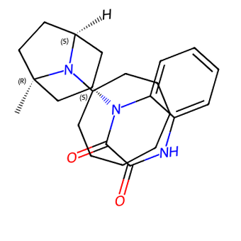 C[C@@]12CC[C@@H](C[C@H](n3c(=O)c(=O)[nH]c4ccccc43)C1)N2C1CCCCCCC1